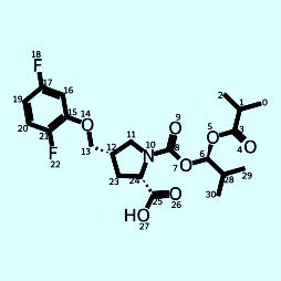 CC(C)C(=O)O[C@H](OC(=O)N1C[C@@H](COc2cc(F)ccc2F)C[C@H]1C(=O)O)C(C)C